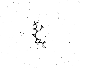 COC(=O)c1nc(C2CC2N(CC2CC2)C(=O)OC(C)(C)C)cs1